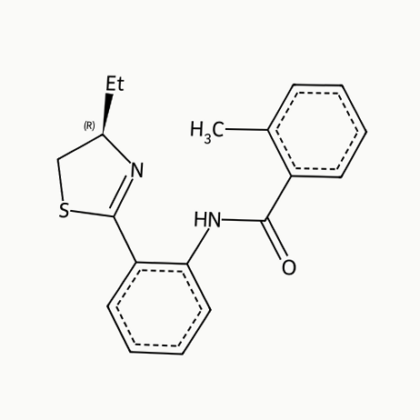 CC[C@@H]1CSC(c2ccccc2NC(=O)c2ccccc2C)=N1